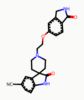 N#Cc1ccc2c(c1)C1(CCN(CCOc3ccc4c(c3)CNC4=O)CC1)C(=O)N2